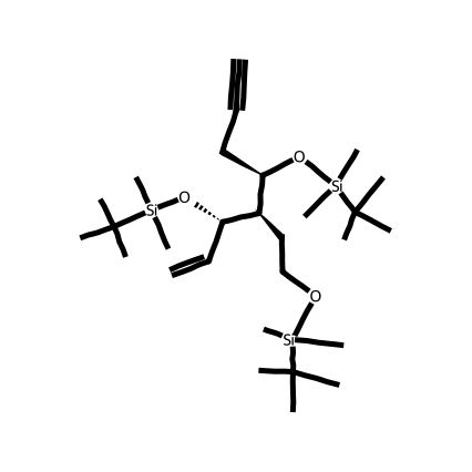 C#CC[C@@H](O[Si](C)(C)C(C)(C)C)[C@@H](CCO[Si](C)(C)C(C)(C)C)[C@H](C=C)O[Si](C)(C)C(C)(C)C